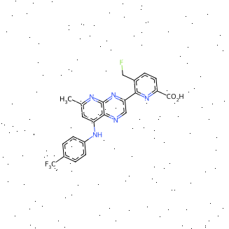 Cc1cc(Nc2ccc(C(F)(F)F)cc2)c2ncc(-c3nc(C(=O)O)ccc3CF)nc2n1